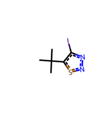 CC(C)(C)c1snnc1I